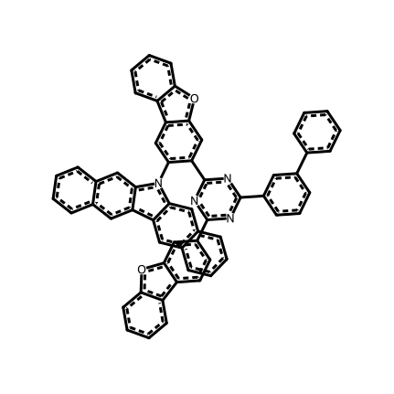 c1ccc(-c2cccc(-c3nc(-c4ccc5c(c4)oc4ccccc45)nc(-c4cc5oc6ccccc6c5cc4-n4c5cc6ccccc6cc5c5cc6ccccc6cc54)n3)c2)cc1